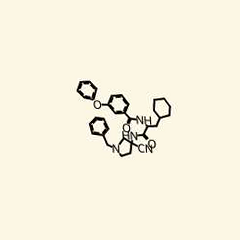 N#CC1(NC(=O)C(CC2CCCCC2)NC(=O)c2cccc(Oc3ccccc3)c2)CCN(Cc2ccccc2)C1